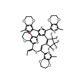 C/C=C(\S/C(=C/C1=C(c2cc(-c3sc(C)c4c3OCCO4)sc2-c2sc(C)c3c2OCCO3)C(F)(F)C(F)(F)C1(F)F)c1sc(C)c2c1OCCO2)c1sc(C)c2c1OCCO2